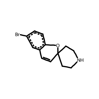 Brc1ccc2c(c1)C=CC1(CCNCC1)O2